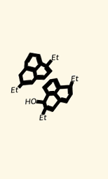 CCC1=Cc2ccc(CC)c3cccc(c23)C1.CCC1=Cc2ccc(CC)c3cccc(c23)C1O